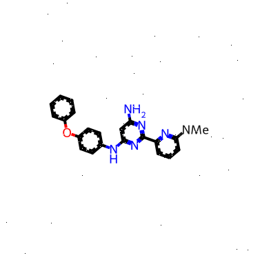 CNc1cccc(-c2nc(N)cc(Nc3ccc(Oc4ccccc4)cc3)n2)n1